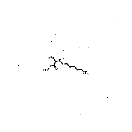 CCCCC(SCCCCCCC(F)(F)F)C(=O)OCCC